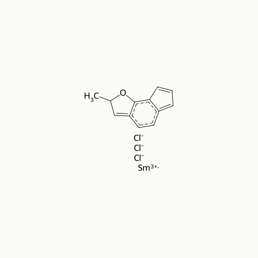 CC1C=c2ccc3c(c2O1)C=CC=3.[Cl-].[Cl-].[Cl-].[Sm+3]